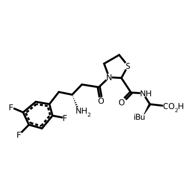 CC[C@H](C)C(NC(=O)C1SCCN1C(=O)C[C@H](N)Cc1cc(F)c(F)cc1F)C(=O)O